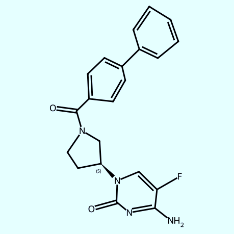 Nc1nc(=O)n([C@H]2CCN(C(=O)c3ccc(-c4ccccc4)cc3)C2)cc1F